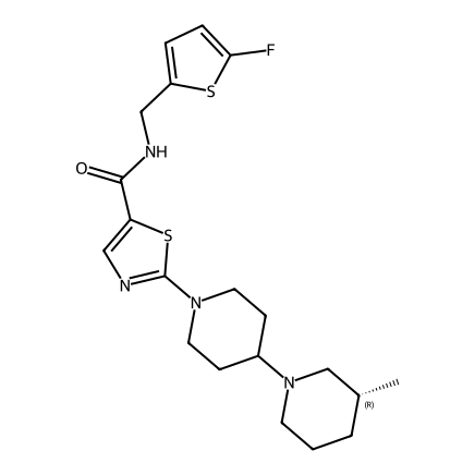 C[C@@H]1CCCN(C2CCN(c3ncc(C(=O)NCc4ccc(F)s4)s3)CC2)C1